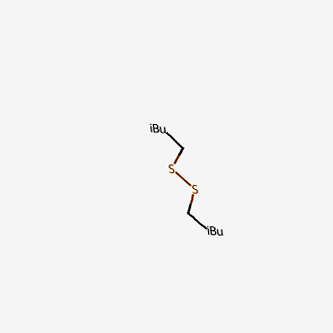 CCC(C)CSSCC(C)CC